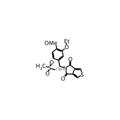 CCOc1cc([C@@H](CS(C)(=O)=O)N2C(=O)c3cscc3C2=O)ccc1OC